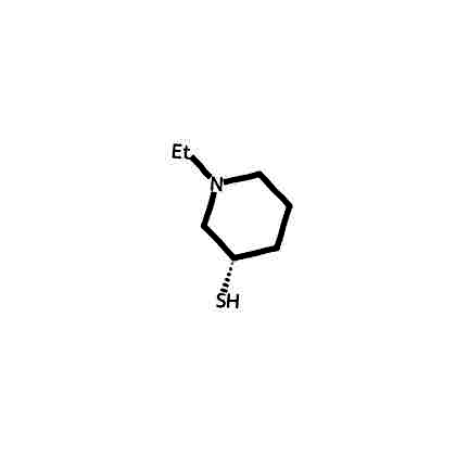 CCN1CCC[C@H](S)C1